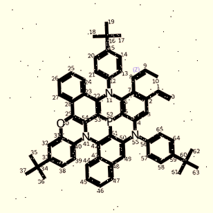 C=Cc1cc2c3c(c1/C=C\C)n(-c1ccc(C(C)(C)C)cc1)c1c4ccccc4c4oc5cc(C(C)(C)C)ccc5n5c6c7ccccc7cc(c6p3c1c45)n2-c1ccc(C(C)(C)C)cc1